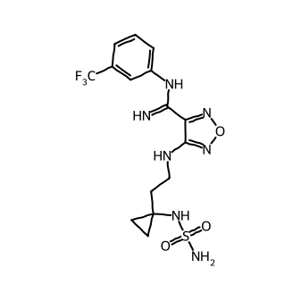 N=C(Nc1cccc(C(F)(F)F)c1)c1nonc1NCCC1(NS(N)(=O)=O)CC1